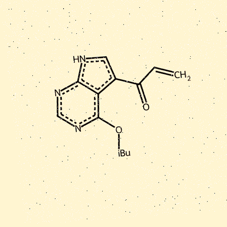 C=CC(=O)c1c[nH]c2ncnc(OC(C)CC)c12